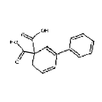 O=C(O)C1(C(=O)O)C=C(c2ccccc2)C=CC1